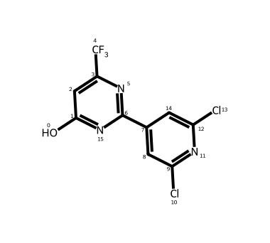 Oc1cc(C(F)(F)F)nc(-c2cc(Cl)nc(Cl)c2)n1